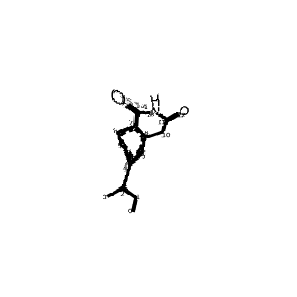 CCC(C)c1ccc2c(c1)CC(=O)NC2=O